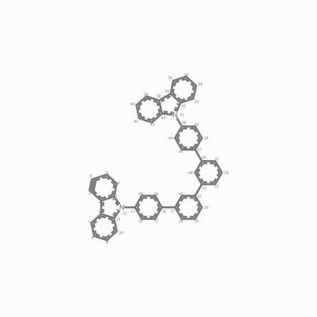 c1ccc2c(c#1)c1ccccc1n2-c1ccc(-c2cccc(-c3cccc(-c4ccc(-n5c6ccccc6c6ccccc65)cc4)c3)c2)cc1